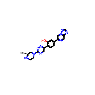 CC(C)(C)[C@H]1CN(c2ncc(-c3ccc(-c4cn5ncnc5cn4)cc3O)nn2)CCN1